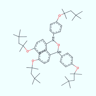 CC(C)(C)CC(C)(C)Oc1ccc([SiH](O[SiH](c2ccc(OC(C)(C)CC(C)(C)C)cc2)c2ccc(OC(C)(C)CC(C)(C)C)cc2)c2ccc(OC(C)(C)CC(C)(C)C)cc2)cc1